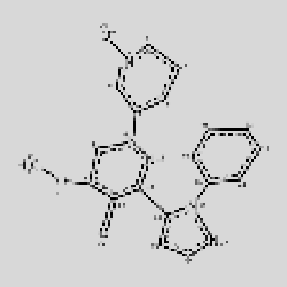 COc1cn(-c2ccc[n+]([O-])c2)nc(-c2ccnn2-c2ccccc2)c1=O